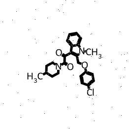 CC1CCN(C(=O)C(=O)c2c(COc3ccc(Cl)cc3)n(C)c3ccccc23)CC1